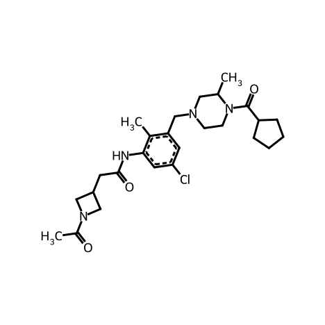 CC(=O)N1CC(CC(=O)Nc2cc(Cl)cc(CN3CCN(C(=O)C4CCCC4)C(C)C3)c2C)C1